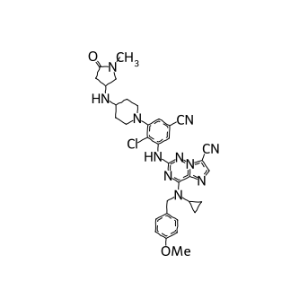 COc1ccc(CN(c2nc(Nc3cc(C#N)cc(N4CCC(NC5CC(=O)N(C)C5)CC4)c3Cl)nn3c(C#N)cnc23)C2CC2)cc1